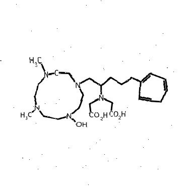 CN1CCN(C)CCN(CC(CCCC2=CC=CCC=C2)N(CC(=O)O)CC(=O)O)CCN(O)CC1